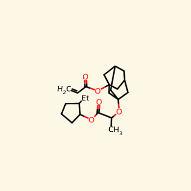 C=CC(=O)OC12CC3CC(C1)CC(OC(C)C(=O)OC1CCCC1CC)(C3)C2